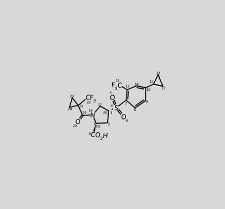 O=C(O)[C@@H]1C[C@@H](S(=O)(=O)c2ccc(C3CC3)cc2C(F)(F)F)CN1C(=O)C1(C(F)(F)F)CC1